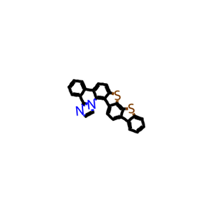 c1ccc2c(c1)sc1c2ccc2c1sc1ccc3c4ccccc4c4nccn4c3c12